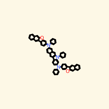 c1ccc(N(c2ccc3cc4c5ccc(N(c6ccccc6)c6ccc7c(c6)oc6cc8ccccc8cc67)cc5n(-c5ccccc5)c4cc3c2)c2ccc3c(c2)oc2cc4ccccc4cc23)cc1